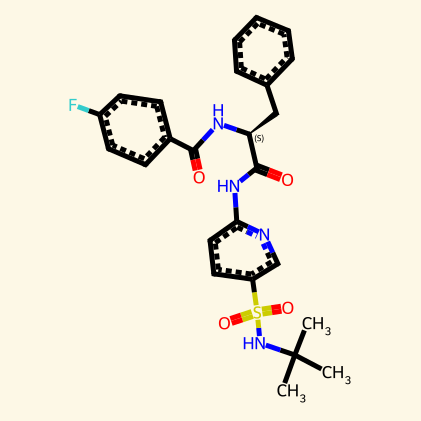 CC(C)(C)NS(=O)(=O)c1ccc(NC(=O)[C@H](Cc2ccccc2)NC(=O)c2ccc(F)cc2)nc1